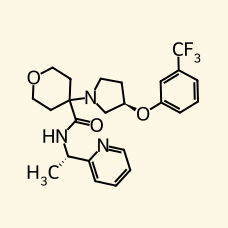 C[C@H](NC(=O)C1(N2CC[C@@H](Oc3cccc(C(F)(F)F)c3)C2)CCOCC1)c1ccccn1